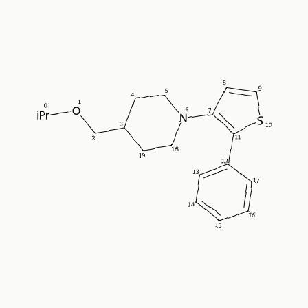 CC(C)OCC1CCN(c2ccsc2-c2ccccc2)CC1